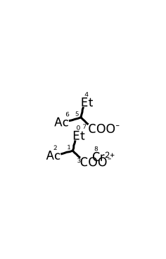 CCC(C(C)=O)C(=O)[O-].CCC(C(C)=O)C(=O)[O-].[Cr+2]